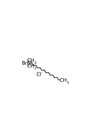 CCCCCCCCCCCCCCC[N+](C)(C)Br.[Cl-]